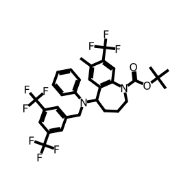 Cc1cc2c(cc1C(F)(F)F)N(C(=O)OC(C)(C)C)CCCC2N(Cc1cc(C(F)(F)F)cc(C(F)(F)F)c1)c1ccccc1